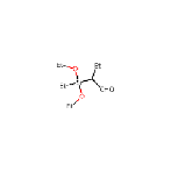 CCO[Si](CC)(OCC)C(C=O)CC